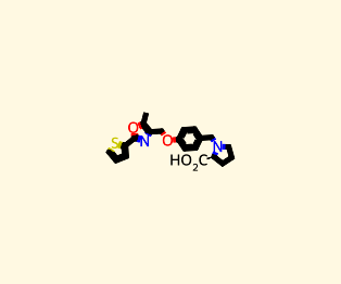 Cc1oc(-c2cccs2)nc1COc1ccc(CN2CCC[C@@H]2C(=O)O)cc1